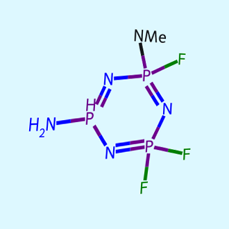 CNP1(F)=NP(F)(F)=N[PH](N)=N1